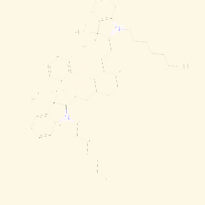 CCCCCCCN1C(=CC=C2CCCC(C=CC3=[N+](CCCCCCC)c4ccccc4C3(C)C)C2S(=O)(=O)c2ccccc2)C(C)(C)c2ccccc21